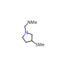 CNCN1CCC(SC)C1